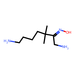 CC(C)(CCCCN)C(CN)=NO